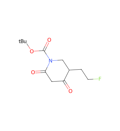 CC(C)(C)OC(=O)N1CC(CCF)C(=O)CC1=O